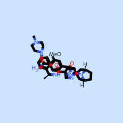 COc1cc(C(=O)N[C@H]2C[C@H]3CC[C@@H](C2)N3c2ccc(C(=O)N[C@@H](C)c3ccc(N4CCN(C)CC4)cc3)cn2)ccc1C(N)=O